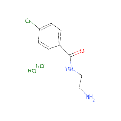 Cl.Cl.NCCNC(=O)c1ccc(Cl)cc1